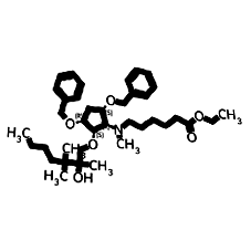 CCCCC(C)(C)C(C)(O)CO[C@H]1[C@H](N(C)CCCCCC(=O)OCC)[C@@H](OCc2ccccc2)C[C@H]1OCc1ccccc1